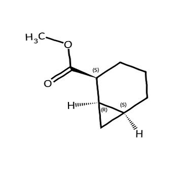 COC(=O)[C@H]1CCC[C@H]2C[C@H]21